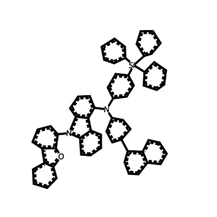 c1ccc([Si](c2ccccc2)(c2ccccc2)c2ccc(N(c3ccc(-c4cccc5ccccc45)cc3)c3cccc4c3c3ccccc3n4-c3cccc4c3oc3ccccc34)cc2)cc1